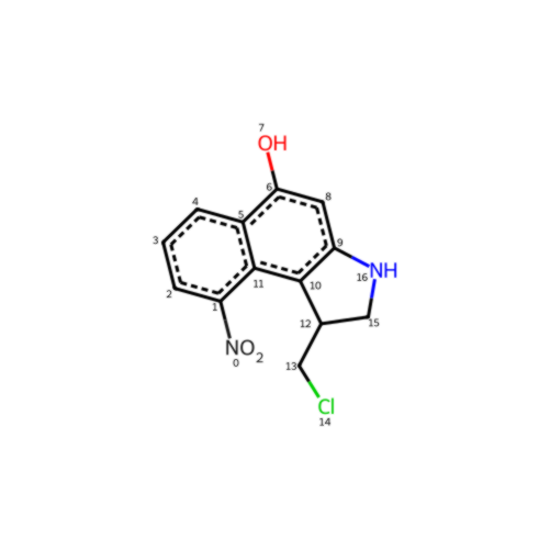 O=[N+]([O-])c1cccc2c(O)cc3c(c12)C(CCl)CN3